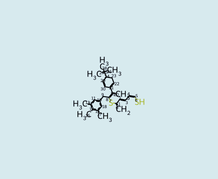 C=C(/C=C/C=C\S)S/C(Cc1cc(C)c(C)c(C)c1)=C(\C)C1=CCC(C(C)(C)C)C=C1